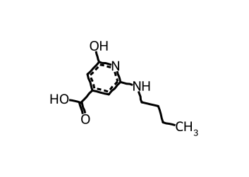 CCCCNc1cc(C(=O)O)cc(O)n1